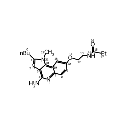 CCCCc1nc2c(N)nc3ccc(OCCNC(=O)CC)cc3c2n1C